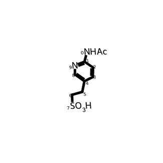 CC(=O)Nc1ccc(CCS(=O)(=O)O)cn1